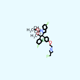 CC/C(=C(/c1ccc(OCCN2CC(CF)C2)cc1)c1cc2cc(F)ccc2n1C(=O)OC(C)(C)C)c1ccc(F)cc1Cl